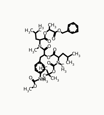 COC(=O)Nc1ccc(CC(OC(=O)C(CC(C)C)N(C)C(=O)OC(C)(C)C)C(=O)N(C)C(CC(C)C)C(=O)OC(C)C(=O)OCc2ccccc2)cc1